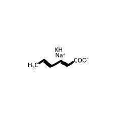 C/C=C/C=C/C(=O)[O-].[KH].[Na+]